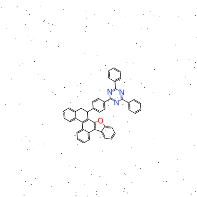 c1ccc(-c2nc(-c3ccccc3)nc(-c3ccc(C4Cc5ccccc5-c5c4c4oc6ccccc6c4c4ccccc54)cc3)n2)cc1